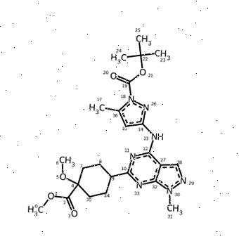 COC(=O)C1(OC)CCC(c2nc(Nc3cc(C)n(C(=O)OC(C)(C)C)n3)c3cnn(C)c3n2)CC1